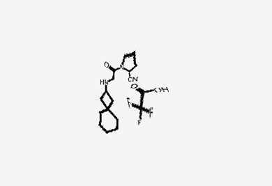 N#C[C@@H]1CCCN1C(=O)CNC1CC2(CCCCC2)C1.O=C(O)C(F)(F)F